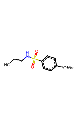 COc1ccc(S(=O)(=O)NCCC#N)cc1